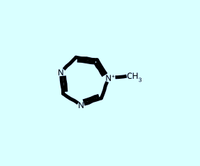 C[N+]1=C=CN=CN=C1